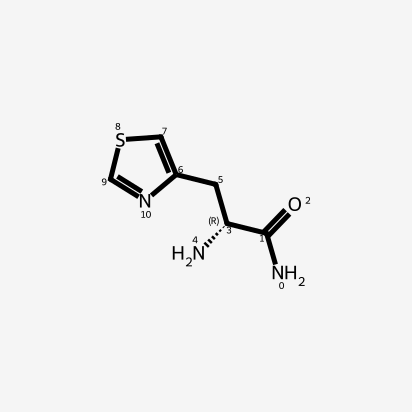 NC(=O)[C@H](N)Cc1cscn1